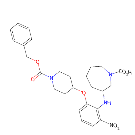 O=C(O)N1CCCC[C@@H](Nc2c(OC3CCN(C(=O)OCc4ccccc4)CC3)cccc2[N+](=O)[O-])C1